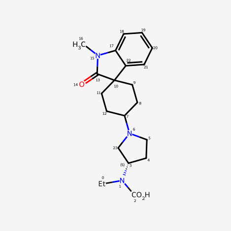 CCN(C(=O)O)[C@H]1CCN(C2CCC3(CC2)C(=O)N(C)c2ccccc23)C1